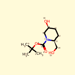 CC(C)(C)OC(=O)N1C[C@@H](O)CC[C@H]1CO